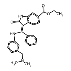 CCOC(=O)c1ccc2c(c1)NC(=O)/C2=C(\Nc1cccc(CN(C)C)c1)c1ccccc1